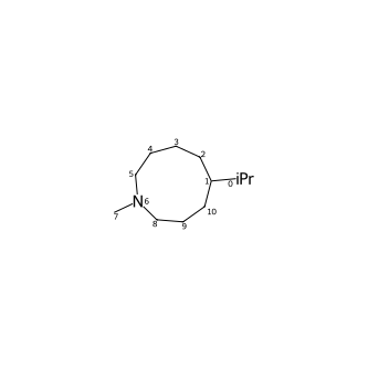 CC(C)C1CCCCN(C)CCC1